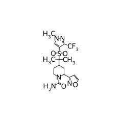 Cn1cc(S(=O)(=O)C(C)(C)C2CCN(C(N)=O)C(c3ccon3)C2)c(C(F)(F)F)n1